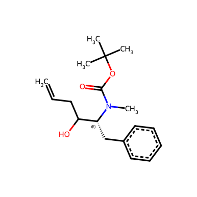 C=CCC(O)[C@@H](Cc1ccccc1)N(C)C(=O)OC(C)(C)C